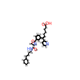 O=C(O)CCCCC=C(c1cccnc1)c1cccc(C2=N[C@H](C(=O)NCCCCC3CCCCC3)CO2)c1